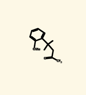 COc1ccccc1C(C)(C)CC(=O)C(F)(F)F